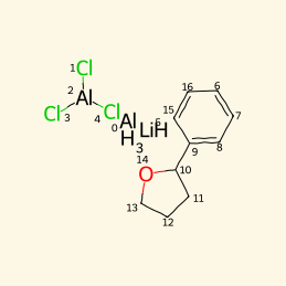 [AlH3].[Cl][Al]([Cl])[Cl].[LiH].c1ccc(C2CCCO2)cc1